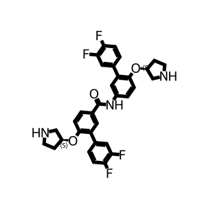 O=C(Nc1ccc(O[C@H]2CCNC2)c(-c2ccc(F)c(F)c2)c1)c1ccc(O[C@H]2CCNC2)c(-c2ccc(F)c(F)c2)c1